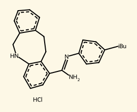 CCC(C)c1ccc(N=C(N)c2cccc3c2CCc2ccccc2CN3)cc1.Cl